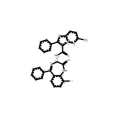 Cc1ccc2nc(-c3ccccc3)c(C(=O)N[C@H]3N=C(c4ccccc4)c4cccc(F)c4NC3=O)n2n1